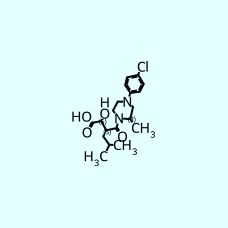 CC(C)C[C@H](C(=O)N1CCN(c2ccc(Cl)cc2)C[C@H]1C)[C@H](O)C(=O)O